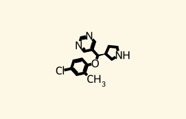 Cc1cc(Cl)ccc1OC(c1cncnc1)[C@H]1CCNC1